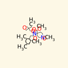 CCC1(CON(C(=O)Cc2c(C)cc(C)cc2C)C2(C(=O)OC)CCN(OC)CC2)COC1